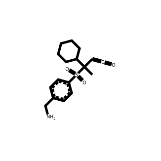 CC(C=C=O)(C1CCCCC1)S(=O)(=O)c1ccc(CN)cc1